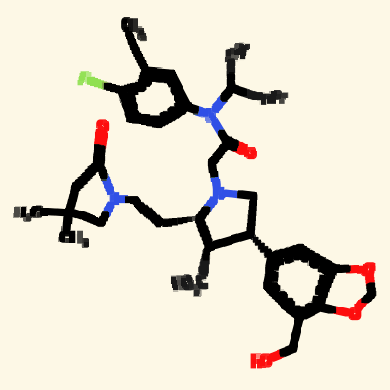 CCCC(CCC)N(C(=O)CN1C[C@H](c2cc(CO)c3c(c2)OCO3)[C@@H](C(=O)O)[C@@H]1CCN1CC(C)(C)CC1=O)c1ccc(F)c(C)c1